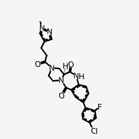 Cn1cc(CCC(=O)N2CCN3C(=O)c4cc(-c5ccc(Cl)cc5F)ccc4NC(=O)[C@@H]3C2)cn1